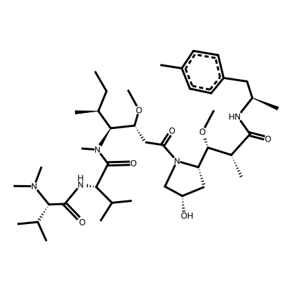 CC[C@H](C)[C@@H]([C@@H](CC(=O)N1C[C@@H](O)C[C@H]1[C@H](OC)[C@@H](C)C(=O)N[C@H](C)Cc1ccc(C)cc1)OC)N(C)C(=O)[C@@H](NC(=O)[C@H](C(C)C)N(C)C)C(C)C